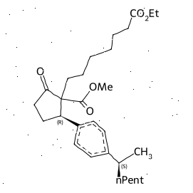 CCCCC[C@H](C)c1ccc([C@H]2CCC(=O)C2(CCCCCCC(=O)OCC)C(=O)OC)cc1